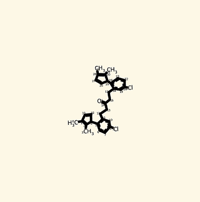 CC1=C(C)C(c2ccc(Cl)cc2CCC(=O)CCc2cc(Cl)ccc2C2C=CC(C)=C2C)C=C1